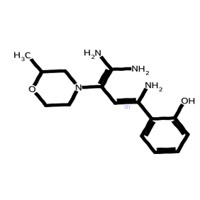 CC1CN(C(/C=C(\N)c2ccccc2O)=C(N)N)CCO1